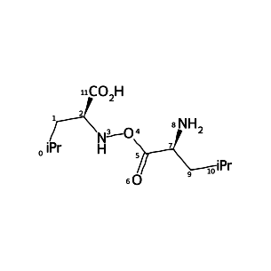 CC(C)C[C@H](NOC(=O)[C@@H](N)CC(C)C)C(=O)O